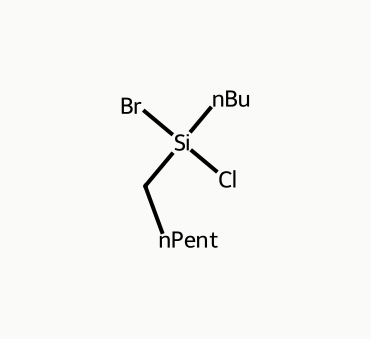 CCCCCC[Si](Cl)(Br)CCCC